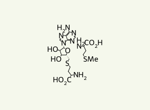 CSCCC(N)C(=O)O.Nc1ncnc2c1ncn2[C@@H]1O[C@H](CSCCC(N)C(=O)O)[C@@H](O)[C@H]1O